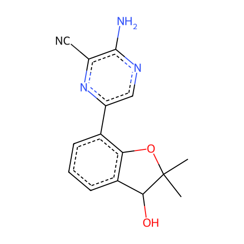 CC1(C)Oc2c(-c3cnc(N)c(C#N)n3)cccc2C1O